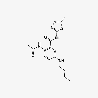 CCCCNc1ccc(NC(C)=O)c(C(=O)Nc2ncc(C)s2)c1